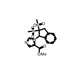 COC(=O)c1cncn1C1c2ccccc2CC1(S(C)(=O)=O)S(C)(=O)=O